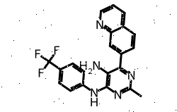 Cc1nc(Nc2ccc(C(F)(F)F)cc2)c(N)c(-c2ccc3cccnc3c2)n1